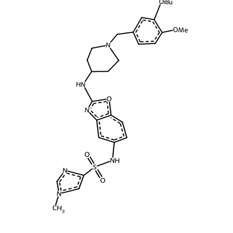 COc1ccc(CN2CCC(Nc3nc4cc(NS(=O)(=O)c5cn(C)cn5)ccc4o3)CC2)cc1OCC(C)C